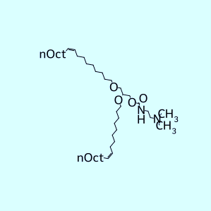 CCCCCCCC/C=C\CCCCCCCCOCC(COC(=O)NCCN(C)C)OCCCCCCCC/C=C\CCCCCCCC